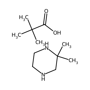 CC(C)(C)C(=O)O.CC1(C)CNCCN1